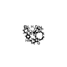 COc1cc(Nc2ncc3c(=O)n4n(c3n2)C2CC=C3OC(C)(C)C(=O)N(CCC/C=C\C4)C3=N2)ccc1N1CCN(C)CC1